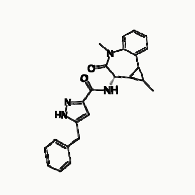 CC1C2c3ccccc3N(C)C(=O)[C@@H](NC(=O)c3cc(Cc4ccccc4)[nH]n3)C12